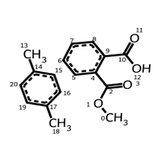 COC(=O)c1ccccc1C(=O)O.Cc1ccc(C)cc1